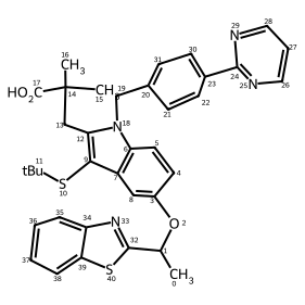 CC(Oc1ccc2c(c1)c(SC(C)(C)C)c(CC(C)(C)C(=O)O)n2Cc1ccc(-c2ncccn2)cc1)c1nc2ccccc2s1